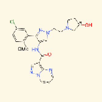 COc1ccc(Cl)cc1-c1nn(CCN2CC[C@@H](O)C2)cc1NC(=O)c1cnn2cccnc12